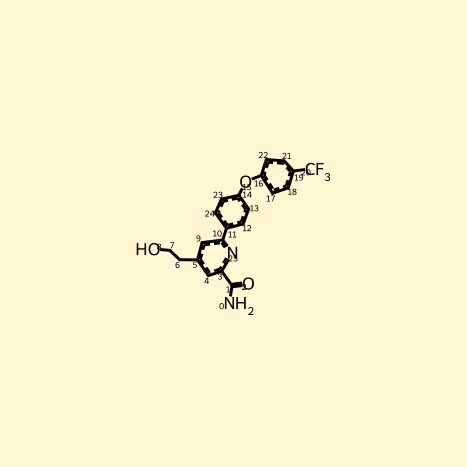 NC(=O)c1cc(CCO)cc(-c2ccc(Oc3ccc(C(F)(F)F)cc3)cc2)n1